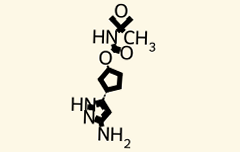 CC1(NC(=O)O[C@@H]2CC[C@H](c3cc(N)n[nH]3)C2)COC1